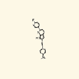 CN(C)c1ccc(C#Cc2cc3ccc(-c4ccc(F)nc4)nc3[nH]2)cc1